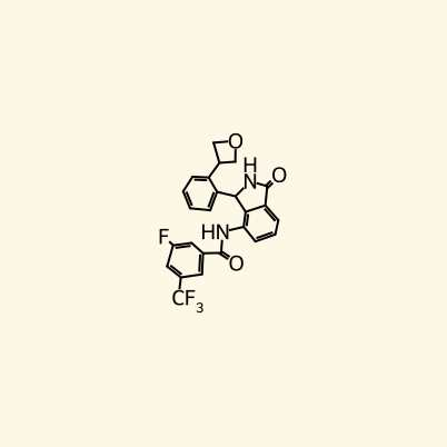 O=C(Nc1cccc2c1C(c1ccccc1C1COC1)NC2=O)c1cc(F)cc(C(F)(F)F)c1